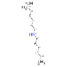 CCCCCCNCCCCCC.[LiH]